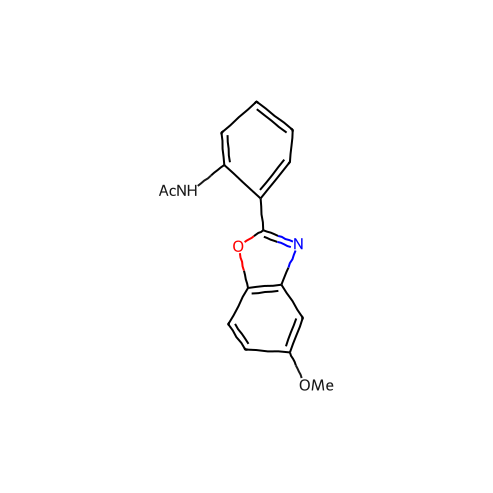 COc1ccc2oc(-c3ccccc3NC(C)=O)nc2c1